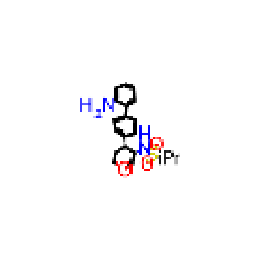 CC(C)S(=O)(=O)N[C@@H]1COCC[C@H]1c1ccc(-c2ccccc2N)cc1